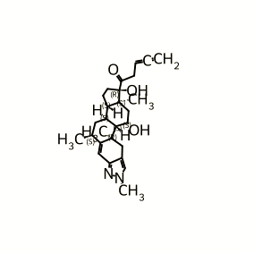 C=C=CCC(=O)[C@@]1(O)CC[C@H]2[C@@H]3C[C@H](C)C4=Cc5nn(C)cc5C[C@]4(C)[C@H]3[C@@H](O)C[C@@]21C